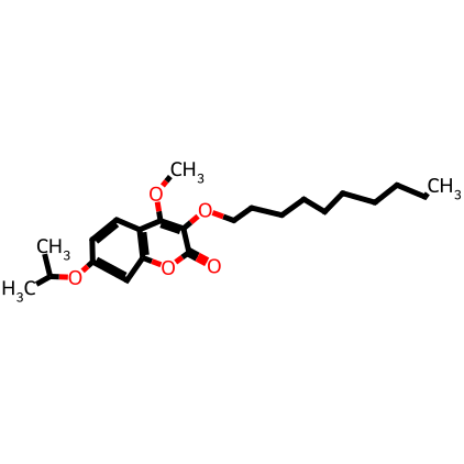 CCCCCCCCCCOc1c(OC)c2ccc(OC(C)C)cc2oc1=O